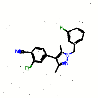 Cc1nn(Cc2cccc(F)c2)c(C)c1-c1ccc(C#N)c(Cl)c1